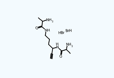 Br.Br.C#CC(CCCNC(=O)C(C)N)NC(=O)C(C)N